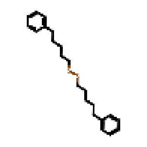 c1ccc(CCCCCSSCCCCCc2ccccc2)cc1